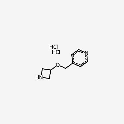 Cl.Cl.c1cc(COC2CNC2)ccn1